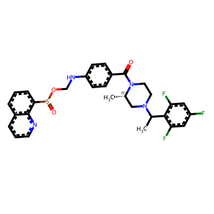 CC(c1c(F)cc(F)cc1F)N1CCN(C(=O)c2ccc(NCOS(=O)c3cccc4cccnc34)cc2)[C@@H](C)C1